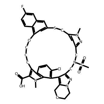 Cn1nc2cc1CSc1cc(c3ccc(F)cc3c1)OCCCc1c(C(=O)O)n(C)c3c(c(Cl)ccc13)-c1c(nn3c1COCC3)CN(S(C)(=O)=O)C2